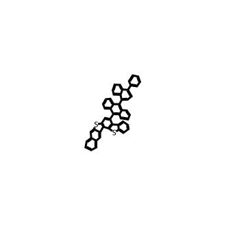 c1ccc(-c2ccc(-c3c4ccccc4c(-c4cc5sc6cc7ccccc7cc6c5c5sc6ccccc6c45)c4ccccc34)c3ccccc23)cc1